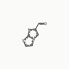 O=Cc1cn2ccsc2n1